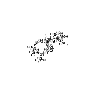 CCCC[C@H](NC(=O)[C@H](CO)NC(=O)[C@H](Cc1cnc[nH]1)NC(=O)[C@H](CCC(N)=O)NC(=O)[C@H](CO)NC(=O)CNC(C)=O)C(=O)N[C@H]1CCC(=O)NCCCC[C@@H](C(N)=O)NC(=O)[C@H](Cc2c[nH]c3ccccc23)NC(=O)[C@H](CCCNC(=N)N)NC(=O)[C@@H](Cc2ccccc2)NC(=O)[C@H](CCS(C)(=O)=O)NC1=O